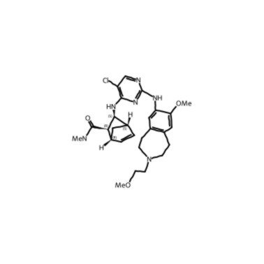 CNC(=O)[C@H]1[C@@H](Nc2nc(Nc3cc4c(cc3OC)CCN(CCOC)CC4)ncc2Cl)[C@@H]2C=C[C@H]1C2